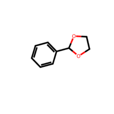 c1ccc(C2OCCO2)cc1